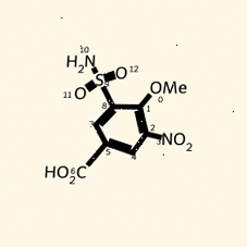 COc1c([N+](=O)[O-])cc(C(=O)O)cc1S(N)(=O)=O